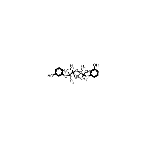 CC(C)(O[Si](C)(C)C(C)(C)Oc1cccc(O)c1)[Si](C)(C)Oc1cccc(O)c1